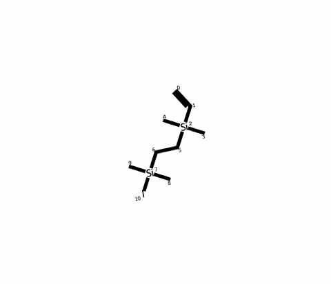 C=C[Si](C)(C)CC[Si](C)(C)I